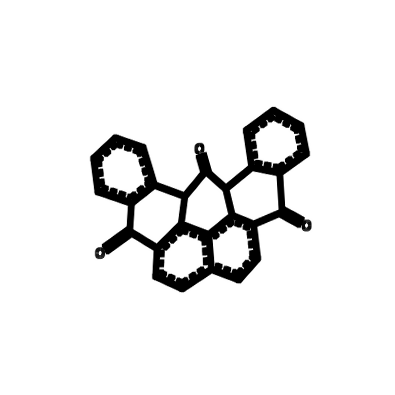 O=C1c2ccccc2C2C(=O)C3c4ccccc4C(=O)c4ccc5ccc1c2c5c43